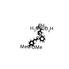 COc1ccc(CCO[C@@H]2CCCC[C@@H]2N2CCC([C@H](C(=O)O)N(C)C)C2)cc1OC